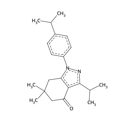 CC(C)c1ccc(-n2nc(C(C)C)c3c2CC(C)(C)CC3=O)cc1